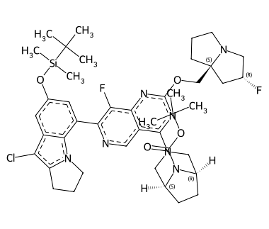 CC(C)(C)OC(=O)N1[C@@H]2CC[C@H]1CN(c1nc(OC[C@@]34CCCN3C[C@H](F)C4)nc3c(F)c(-c4cc(O[Si](C)(C)C(C)(C)C)cc5c(Cl)c6n(c45)CCC6)ncc13)C2